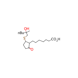 CCCCC(C)(O)CSC1CCC(=O)C1CCCCCCC(=O)O